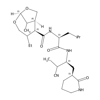 CCC1CO[C@H]2OC[C@H](C2C)[C@H]1C(=O)N[C@@H](CC(C)C)C(=O)N[C@@H](C[C@@H]1CCCNC1=O)C(C)C#N